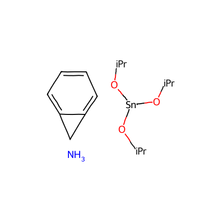 CC(C)[O][Sn]([O]C(C)C)[O]C(C)C.N.c1ccc2c(c1)C2